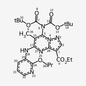 CCOC(=O)c1cnn2c(N(C(=O)OC(C)(C)C)C(=O)OC(C)(C)C)c(C)c(Nc3cccnc3OC(C)C)nc12